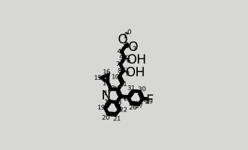 COC(=O)C[C@H](O)C[C@H](O)C=Cc1c(C2CC2)nc2ccccc2c1-c1ccc(F)cc1